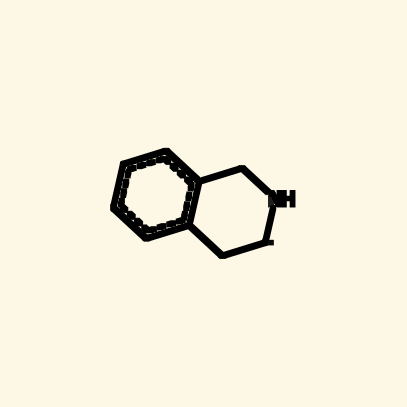 [CH]1Cc2ccccc2CN1